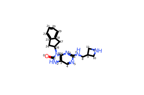 O=c1[nH]c2cnc(NCC3CNC3)nc2n1C1Cc2ccccc2C1